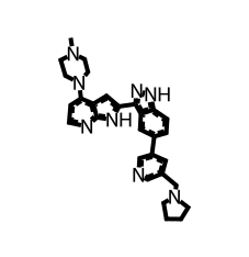 CN1CCN(c2ccnc3[nH]c(-c4n[nH]c5ccc(-c6cncc(CN7CCCC7)c6)cc45)cc23)CC1